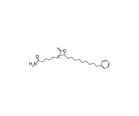 C=C1OC(CCCCCCCCCc2ccccc2)/C1=C/CCCCC(N)=O